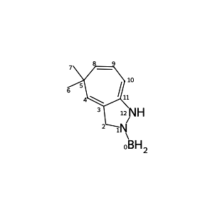 BN1CC2=CC(C)(C)C=CC=C2N1